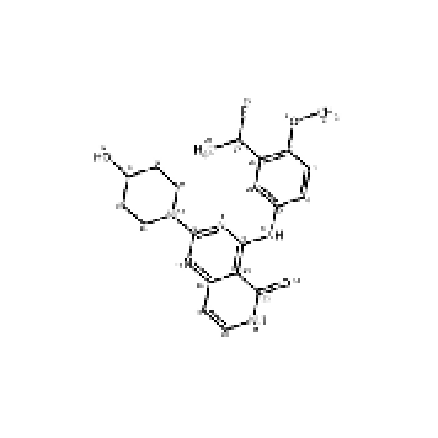 COc1ccc(Nc2nc(N3CCC(O)CC3)nc3cc[nH]c(=O)c23)cc1C(C)F